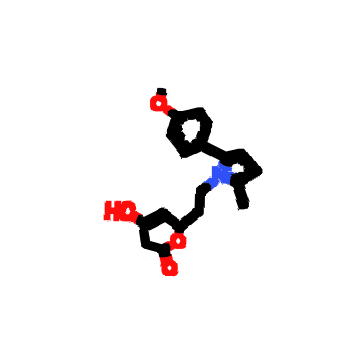 COc1ccc(-c2ccc(C)n2CCC2C=C(O)CC(=O)O2)cc1